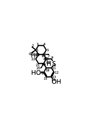 CC1(C)CCC[C@]2(C)[C@H]3CSC4C=C(O)C=C(O)C4[C@]3(C)CC[C@@H]12